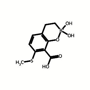 CSc1ccc2c(c1C(=O)O)O[B-](O)(O)CC2